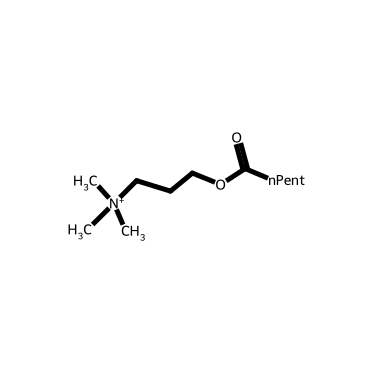 CCCCCC(=O)OCCC[N+](C)(C)C